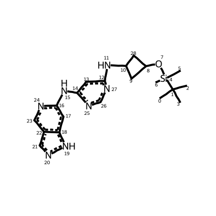 CC(C)(C)[Si](C)(C)OC1CC(Nc2cc(Nc3cc4[nH]ncc4cn3)ncn2)C1